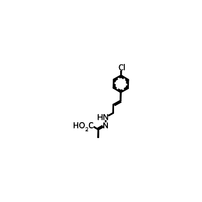 C/C(=N/NC/C=C/c1ccc(Cl)cc1)C(=O)O